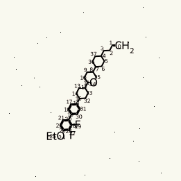 C=CCCC1CCC(C2CCC(C3CCC(c4ccc(-c5ccc(OCC)c(F)c5F)cc4)CC3)OC2)CC1